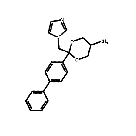 CC1COC(Cn2ccnc2)(c2ccc(-c3ccccc3)cc2)OC1